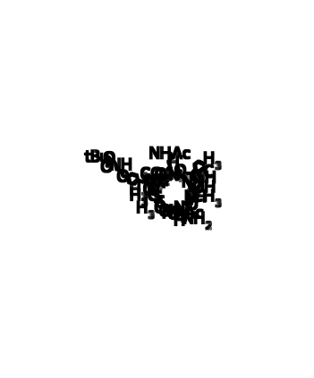 CC(=O)NCCCC[C@@H]1NC(=O)[C@H](Cc2c[nH]c3c(C)cccc23)NC(=O)[C@H]([C@@H](C)O)NC(=O)[C@H](CC(N)=O)NC(=O)[C@@H](NC(C)=O)C(C)(C)SSC(C)(C)[C@@H](C(=O)N[C@@H](Cc2ccc(OCCNC(=O)OC(C)(C)C)cc2)C(=O)O)NC1=O